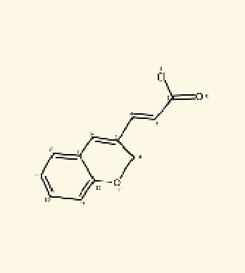 O=C(Cl)C=CC1=Cc2ccccc2OC1